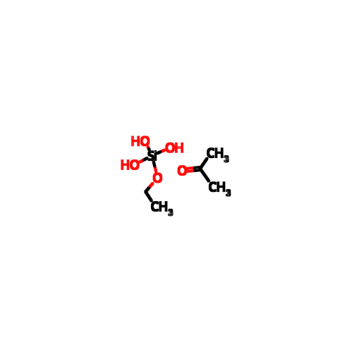 CC(C)=O.CCO[Si](O)(O)O